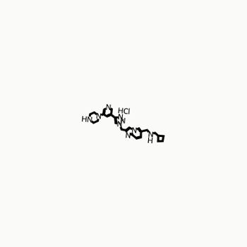 Cl.c1cc2nc(Cn3cc(-c4cncc(N5CCNCC5)c4)nn3)cn2cc1CNCC1CCC1